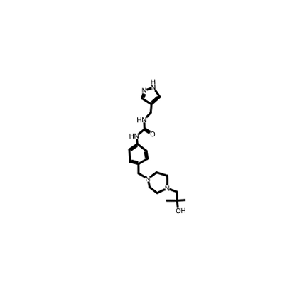 CC(C)(O)CN1CCN(Cc2ccc(NC(=O)NCc3cn[nH]c3)cc2)CC1